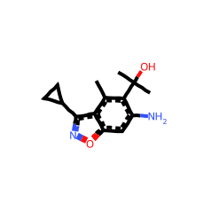 Cc1c(C(C)(C)O)c(N)cc2onc(C3CC3)c12